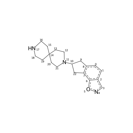 c1cc2cnoc2c2c1CC(N1CCC3(CCNCC3)CC1)C2